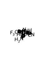 CC(C)(C#N)n1cc(Nc2ncc(-c3ccc(C(F)(F)F)cc3)c(Nc3cc(N)ccc3F)n2)cn1